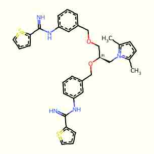 Cc1ccc(C)n1C[C@H](COCc1cccc(NC(=N)c2cccs2)c1)OCc1cccc(NC(=N)c2cccs2)c1